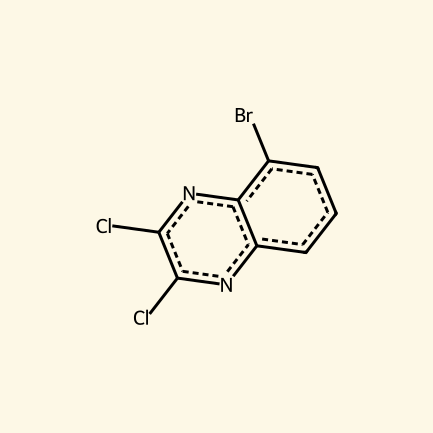 Clc1nc2cccc(Br)c2nc1Cl